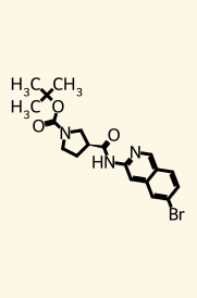 CC(C)(C)OC(=O)N1CC[C@H](C(=O)Nc2cc3cc(Br)ccc3cn2)C1